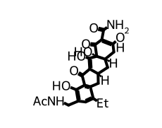 CCc1cc(CNC(C)=O)c(O)c2c1C[C@H]1C[C@H]3CC(O)=C(C(N)=O)C(=O)[C@@]3(O)C(O)=C1C2=O